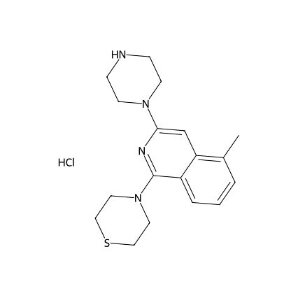 Cc1cccc2c(N3CCSCC3)nc(N3CCNCC3)cc12.Cl